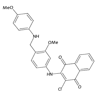 COc1ccc(NCc2ccc(NC3=C(Cl)C(=O)c4ccccc4C3=O)cc2OC)cc1